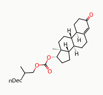 CCCCCCCCCCC(C)COC(=O)O[C@H]1CC[C@H]2[C@@H]3CCC4=CC(=O)CC[C@@H]4[C@H]3CC[C@]12C